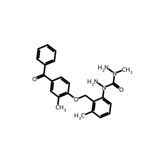 Cc1cc(C(=O)c2ccccc2)ccc1OCc1c(C)cccc1N(N)C(=O)N(C)N